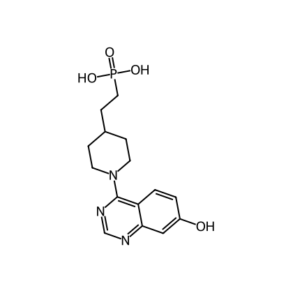 O=P(O)(O)CCC1CCN(c2ncnc3cc(O)ccc23)CC1